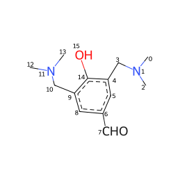 CN(C)Cc1cc(C=O)cc(CN(C)C)c1O